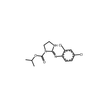 CC(C)OC(=O)N1CCN/C1=N\c1ccc(Cl)cc1Cl